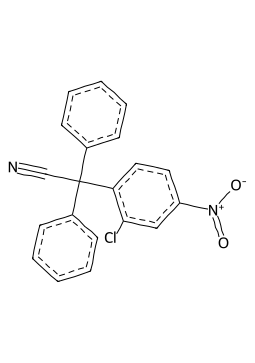 N#CC(c1ccccc1)(c1ccccc1)c1ccc([N+](=O)[O-])cc1Cl